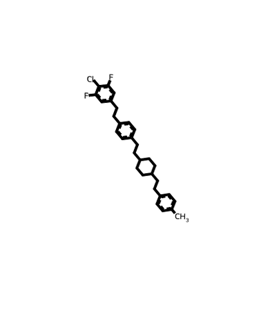 Cc1ccc(CCC2CCC(CCc3ccc(CCc4cc(F)c(Cl)c(F)c4)cc3)CC2)cc1